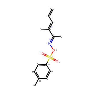 C=C/C=C(C)/C(C)=N/OS(=O)(=O)c1ccc(C)cc1